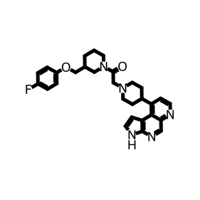 O=C(CN1CCC(c2ccnc3cnc4[nH]ccc4c23)CC1)N1CCCC(COc2ccc(F)cc2)C1